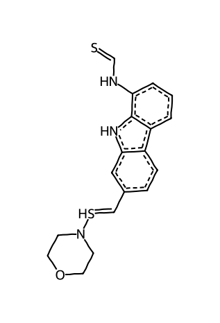 S=CNc1cccc2c1[nH]c1cc(C=[SH]N3CCOCC3)ccc12